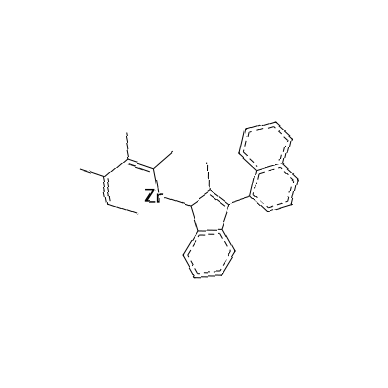 CC=C(C)C(C)=[C](C)[Zr][CH]1C(C)=C(c2cccc3ccccc23)c2ccccc21